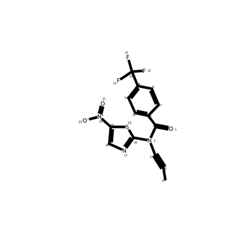 CC#CN(C(=O)c1ccc(C(F)(F)F)cc1)c1ncc([N+](=O)[O-])s1